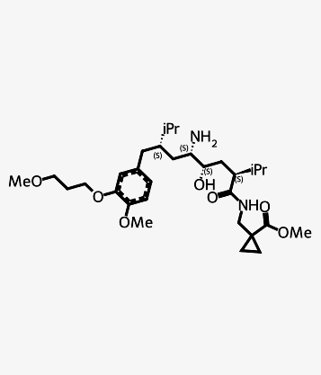 COCCCOc1cc(C[C@@H](C[C@H](N)[C@@H](O)C[C@H](C(=O)NCC2(C(=O)OC)CC2)C(C)C)C(C)C)ccc1OC